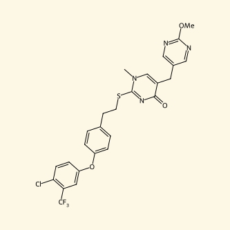 COc1ncc(Cc2cn(C)c(SCCc3ccc(Oc4ccc(Cl)c(C(F)(F)F)c4)cc3)nc2=O)cn1